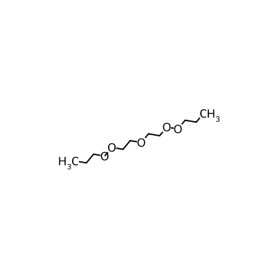 CCCOOCCOCCOOCCC